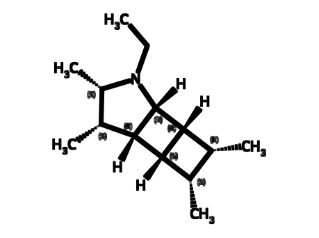 CCN1[C@@H]2[C@@H]3[C@H](C)[C@H](C)[C@@H]3[C@@H]2[C@H](C)[C@@H]1C